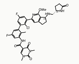 COc1nc(-c2cc(F)cc(-c3cc(F)cc(NC(=O)c4cn(C)c(=O)n(C)c4=O)c3C)c2Cl)cc2c1[C@@H](NC[C@@H]1CCC(=O)N1)CC2